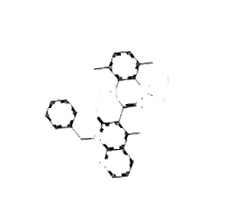 Cc1ccc(Br)c2c1NC(c1c(O)c3cccnc3n(Cc3ccccc3)c1=O)=NS2(O)O